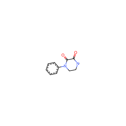 O=C1[N]CCN(c2ccccc2)C1=O